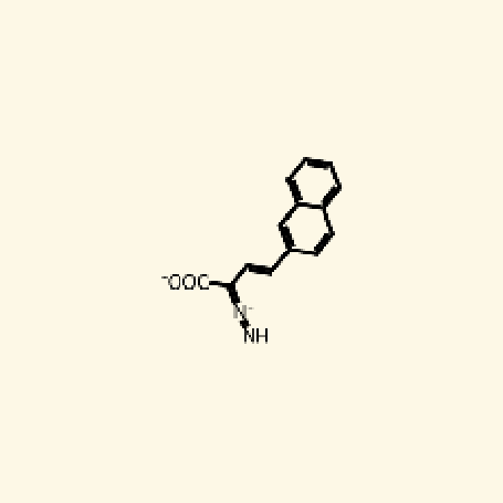 N=[N+]=C(C=Cc1ccc2ccccc2c1)C(=O)[O-]